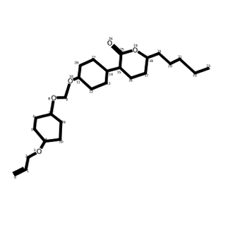 C=CCOC1CCC(OCOC2CCC(C3CCC(CCCCC)OC3=O)CC2)CC1